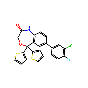 O=C1COC(c2cccs2)(c2cccs2)c2cc(-c3ccc(F)c(Cl)c3)ccc2N1